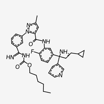 CCCCCCOC(=O)NC(=N)c1cccc(-n2nc(C)cc2C(=O)Nc2cc(C(N)(CCC3CC3)c3cccnc3)ccc2F)c1